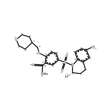 CC[C@H]1CCc2cc(C(F)(F)F)ccc2N1S(=O)(=O)c1ccc(OCC2CCOCC2)c(C(=O)OC)c1